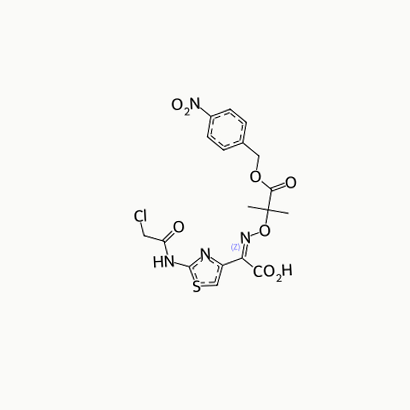 CC(C)(O/N=C(\C(=O)O)c1csc(NC(=O)CCl)n1)C(=O)OCc1ccc([N+](=O)[O-])cc1